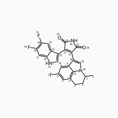 CC1CCc2cc(F)cc3c(C4=C(c5c[nH]c6cc(F)c(F)cc56)C(=O)NC4=O)cn1c23